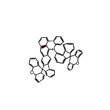 C1=CC2Oc3ccccc3C3(c4ccccc4-c4cc5c(N(c6ccccc6-c6ccccc6)c6cccc7c6-c6ccccc6C76c7ccccc7Oc7ccccc76)cccc5cc43)C2C=C1